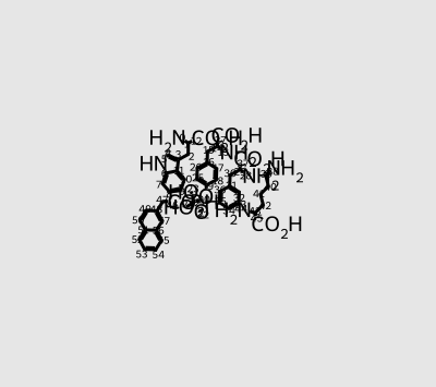 NC(Cc1c[nH]c2ccccc12)C(=O)O.NC(Cc1ccc(OP(=O)(O)O)cc1)C(=O)O.NC(Cc1ccccc1)C(=O)O.NCCCCC(N)C(=O)O.O=C(O)Cc1ccc2ccccc2c1